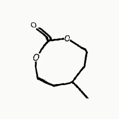 CC1CCOC(=O)OCC1